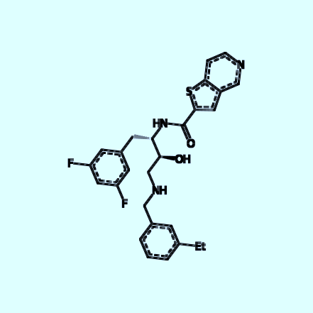 CCc1cccc(CNC[C@H](O)[C@H](Cc2cc(F)cc(F)c2)NC(=O)c2cc3cnccc3s2)c1